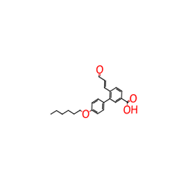 CCCCCCOc1ccc(-c2cc(C(=O)O)ccc2C=CC=O)cc1